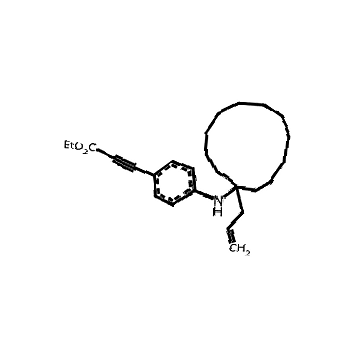 C=CCC1(Nc2ccc(C#CC(=O)OCC)cc2)CCCCCCCCCCC1